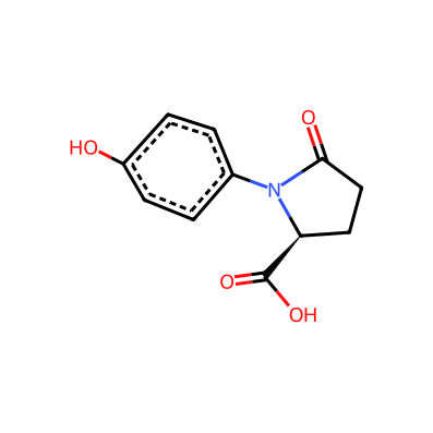 O=C(O)[C@@H]1CCC(=O)N1c1ccc(O)cc1